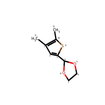 Cc1cc(C2OCCO2)sc1C